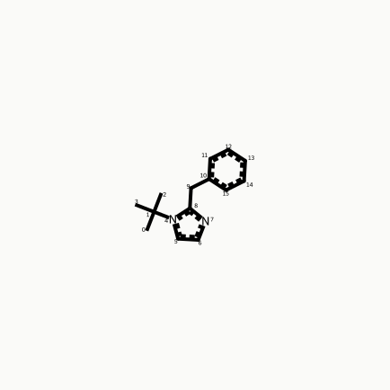 CC(C)(C)n1ccnc1Cc1ccccc1